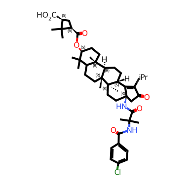 CC(C)C1=C2[C@H]3CC[C@@H]4[C@@]5(C)CC[C@H](OC(=O)[C@@H]6C[C@H](C(=O)O)C6(C)C)C(C)(C)C5CC[C@@]4(C)[C@]3(C)CC[C@@]2(NC(=O)C(C)(C)NC(=O)c2ccc(Cl)cc2)CC1=O